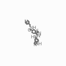 O=C(NCCc1ccncc1)C1CCc2c(sc3ncnc(Nc4ccc5[nH]ncc5c4)c23)C1